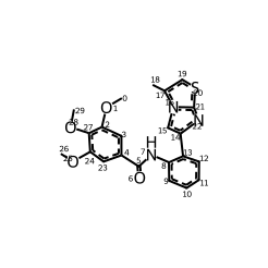 COc1cc(C(=O)Nc2ccccc2-c2cn3c(C)csc3n2)cc(OC)c1OC